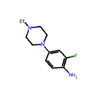 CCN1CCN(c2ccc(N)c(F)c2)CC1